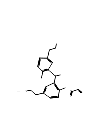 C=CC(=O)Oc1ccc(CCO)cc1C(C)c1cc(CCO)ccc1O